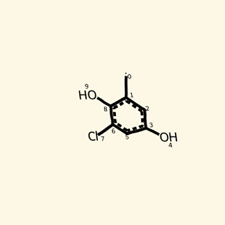 [CH2]c1cc(O)cc(Cl)c1O